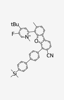 Cc1ccc2c(oc3c(-c4ccc(-c5ccc([Si](C)(C)C)cc5)cc4)c(C#N)ccc32)c1-c1cc(C(C)(C)C)c(F)c[n+]1C